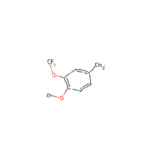 [CH2]c1ccc(OCC)c(OC(F)(F)F)c1